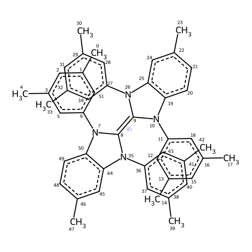 Cc1cc(C)cc(N2/C(=C3/N(c4cc(C)cc(C)c4)c4ccc(C)cc4N3c3cc(C)cc(C)c3)N(c3cc(C)cc(C)c3)c3cc(C)ccc32)c1